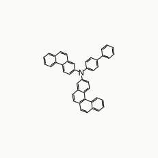 c1ccc(-c2ccc(N(c3ccc4c(ccc5ccccc54)c3)c3ccc4c(ccc5ccc6ccccc6c54)c3)cc2)cc1